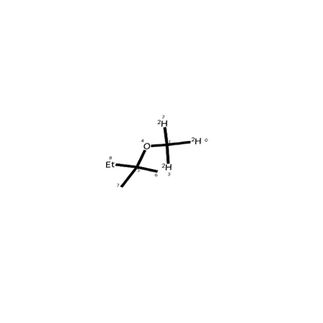 [2H]C([2H])([2H])OC(C)(C)CC